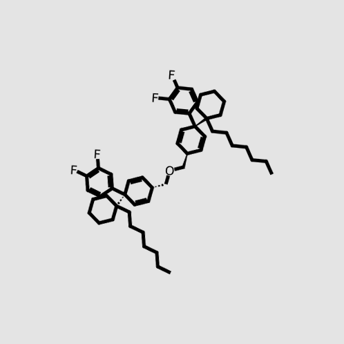 CCCCCCCC1([C@]2(c3ccc(F)c(F)c3)C=C[C@H](COC[C@H]3C=C[C@@](c4ccc(F)c(F)c4)(C4(CCCCCCC)CCCCC4)C=C3)C=C2)CCCCC1